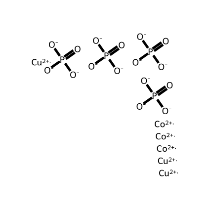 O=P([O-])([O-])[O-].O=P([O-])([O-])[O-].O=P([O-])([O-])[O-].O=P([O-])([O-])[O-].[Co+2].[Co+2].[Co+2].[Cu+2].[Cu+2].[Cu+2]